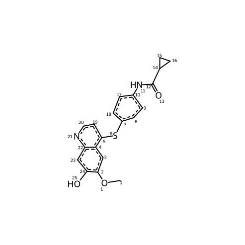 COc1cc2c(Sc3ccc(NC(=O)C4CC4)cc3)ccnc2cc1O